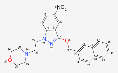 O=[N+]([O-])c1ccc2c(c1)c(OCc1ccc3ccccc3c1)nn2CCN1CCOCC1